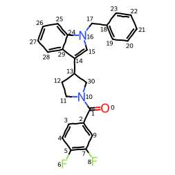 O=C(c1ccc(F)c(F)c1)N1CCC(c2cn(Cc3ccccc3)c3ccccc23)C1